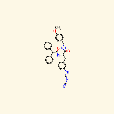 COc1ccc(CNC(=O)C(Cc2cccc(N/C=N/C#N)c2)NC(=O)C(c2ccccc2)c2ccccc2)cc1